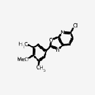 COc1c(C)cc(-c2nc3ccc(Cl)nc3o2)cc1C